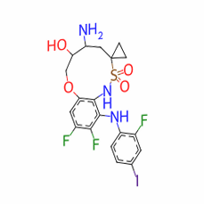 NC1CC2(CC2)S(=O)(=O)Nc2c(cc(F)c(F)c2Nc2ccc(I)cc2F)OCC1O